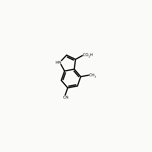 Cc1cc(C#N)cc2[nH]cc(C(=O)O)c12